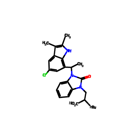 CCCCC(Cn1c(=O)n(C(C)c2cc(Cl)cc3c(C)c(C)[nH]c23)c2ccccc21)C(=O)O